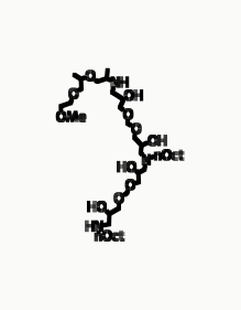 CCCCCCCCNCC(O)COCOCC(O)CN(CCCCCCCC)CC(O)COCOCC(O)CNC(C)COC(C)COCCOC